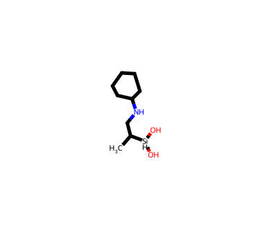 CC(CNC1CCCCC1)[SiH](O)O